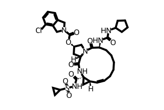 O=C(NC1CCCC1)N[C@H]1CCCCC/C=C\[C@@H]2C[C@@]2(C(=O)NS(=O)(=O)C2CC2)NC(=O)[C@@H]2C[C@@H](OC(=O)N3Cc4cccc(Cl)c4C3)CN2C1=O